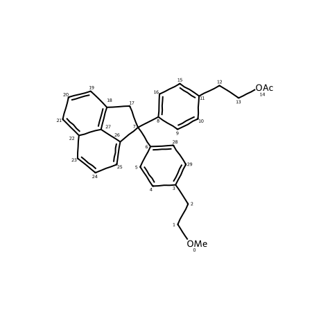 COCCc1ccc(C2(c3ccc(CCOC(C)=O)cc3)Cc3cccc4cccc2c34)cc1